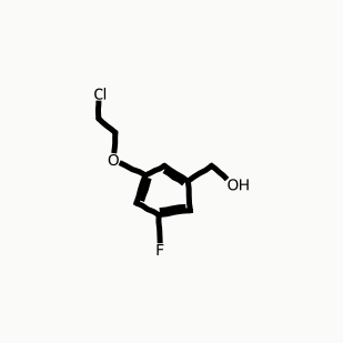 OCc1cc(F)cc(OCCCl)c1